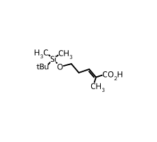 C/C(=C\CCO[Si](C)(C)C(C)(C)C)C(=O)O